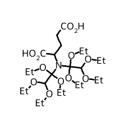 CCOC(OCC)C(OCC)(OCC)N(C(CCC(=O)O)C(=O)O)C(OCC)(OCC)C(OCC)OCC